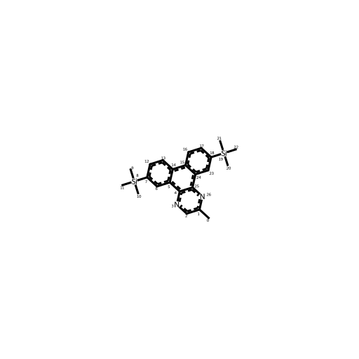 Cc1cnc2c3cc([Si](C)(C)C)ccc3c3ccc([Si](C)(C)C)cc3c2n1